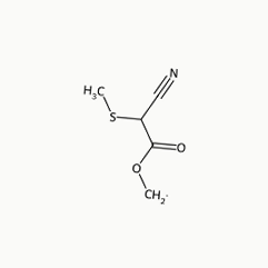 [CH2]OC(=O)C(C#N)SC